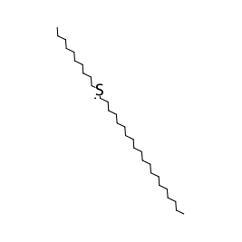 CCCCCCCCCCCCCCCCCCC[CH]SCCCCCCCCCC